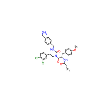 CCOc1ccc(C[C@@H](NC(=O)CC(F)(F)F)C(=O)N(CCc2ccc(Cl)c(Cl)c2)C(=O)NCc2ccc(CN)cc2)cc1